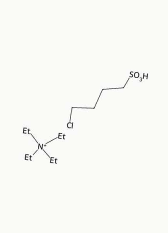 CC[N+](CC)(CC)CC.O=S(=O)(O)CCCCCl